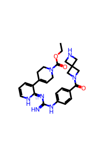 CCOC(=O)N1CC=C(c2ccc[nH]/c2=N\C(=N)Nc2ccc(C(=O)N3CC4(CNC4)C3)cc2)CC1